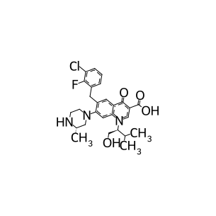 CC(C)[C@@H](CO)n1cc(C(=O)O)c(=O)c2cc(Cc3cccc(Cl)c3F)c(N3CCN[C@@H](C)C3)cc21